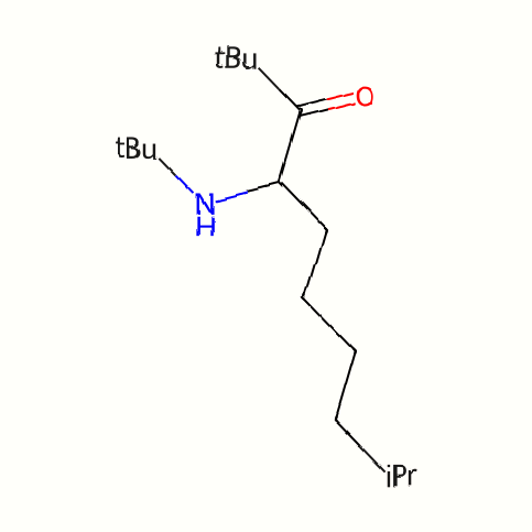 CC(C)CCCCC(NC(C)(C)C)C(=O)C(C)(C)C